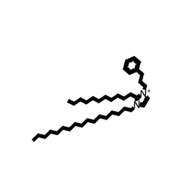 CCCCCCCCCCCCCCCCCn1cc[n+](CCCc2ccccc2)c1CCCCCCCCCCC